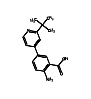 CC(C)(C)c1cc(-c2ccc(N)c(C(=O)O)c2)ccn1